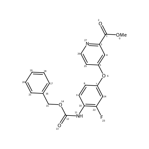 COC(=O)c1cc(Oc2ccc(NC(=O)OCc3ccccc3)c(F)c2)ccn1